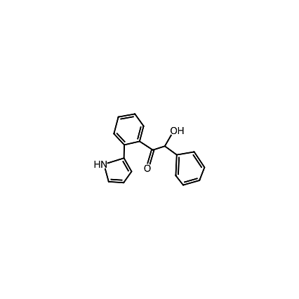 O=C(c1ccccc1-c1ccc[nH]1)C(O)c1ccccc1